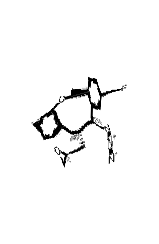 [N-]=[N+]=N[C@@H]1c2cc(F)ccc2Oc2ccccc2[C@H]1C[C@H]1CO1